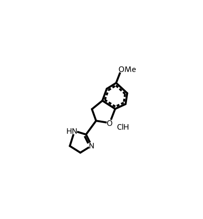 COc1ccc2c(c1)CC(C1=NCCN1)O2.Cl